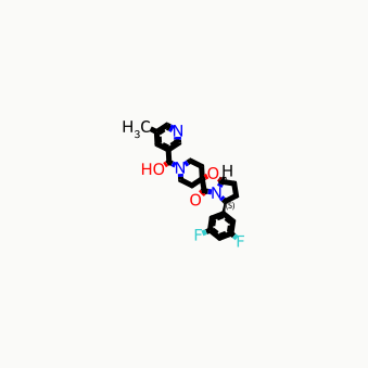 Cc1cncc(C(O)N2CCC3(CC2)O[C@@H]2CC[C@@H](c4cc(F)cc(F)c4)N2C3=O)c1